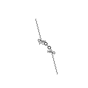 CCCCCCCCCCCCCCCC(=O)NCc1ccc(-c2cccc(C[C@H](NC(=O)CCCCCCCCCCCCCCC)C(C)C)c2)cc1